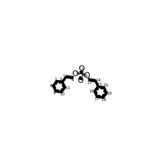 O=S(=O)(OC=Cc1ccccc1)OC=Cc1ccccc1